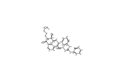 CCCCN1C(=O)c2cccc3c(NCCN(Cc4ccccn4)Cc4ccccn4)ccc(c23)C1=O